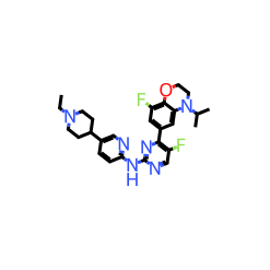 CCN1CCC(c2ccc(Nc3ncc(F)c(-c4cc(F)c5c(c4)N(C(C)C)CCO5)n3)nc2)CC1